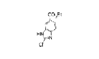 CCOC(=O)c1ccc2nc(Cl)[nH]c2c1